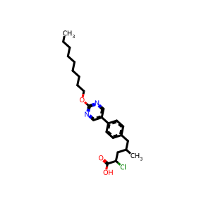 CCCCCCCCCOc1ncc(-c2ccc(CC(C)CC(Cl)C(=O)O)cc2)cn1